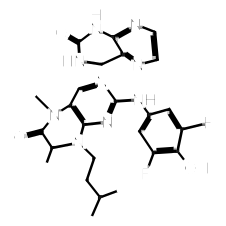 CC(C)CCN1c2nc(Nc3cc(F)c(O)c(F)c3)ncc2N(C)C(=O)C1C.O=C1NCc2nccnc2N1